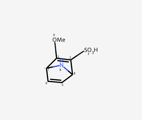 COC1=C(S(=O)(=O)O)[C]2C=C[C]1N2